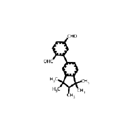 CC1C(C)(C)c2ccc(-c3cc(C=O)ccc3C=O)cc2C1(C)C